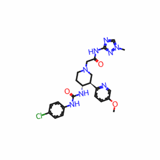 COc1ccc([C@@H]2CN(CC(=O)Nc3ncn(C)n3)CC[C@H]2NC(=O)Nc2ccc(Cl)cc2)nc1